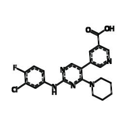 O=C(O)c1cncc(-c2cnc(Nc3ccc(F)c(Cl)c3)nc2N2CCCCC2)c1